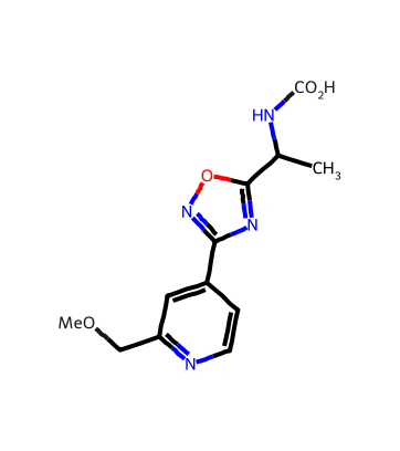 COCc1cc(-c2noc(C(C)NC(=O)O)n2)ccn1